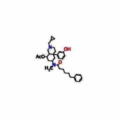 CC(=O)OC1CC(N(C)C(=O)CCCCCc2ccccc2)CC2(c3cccc(O)c3)CCN(CC3CC3)CC12